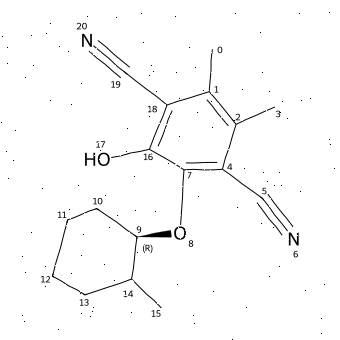 Cc1c(C)c(C#N)c(O[C@@H]2CCCCC2C)c(O)c1C#N